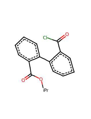 CC(C)OC(=O)c1ccccc1-c1ccccc1C(=O)Cl